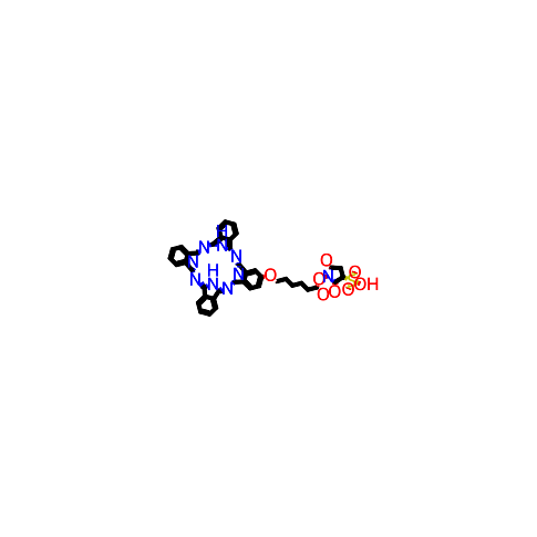 O=C(CCCCCOc1ccc2c(c1)-c1nc-2nc2[nH]c(nc3nc(nc4[nH]c(n1)c1ccccc41)-c1ccccc1-3)c1ccccc21)ON1C(=O)CC(S(=O)(=O)O)C1=O